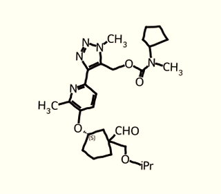 Cc1nc(-c2nnn(C)c2COC(=O)N(C)C2CCCC2)ccc1O[C@H]1CCCC(C=O)(COC(C)C)C1